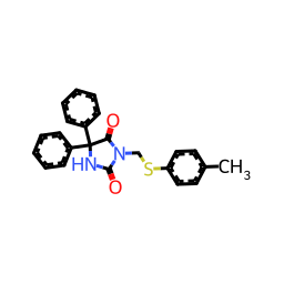 Cc1ccc(SCN2C(=O)NC(c3ccccc3)(c3ccccc3)C2=O)cc1